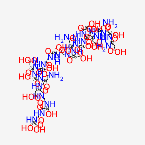 NC(=O)C[C@H](NC(=O)[C@H](CO)NC(=O)[C@H](CC(=O)O)NC(=O)[C@H](CO)NC(=O)CNC(=O)[C@H](CO)NC(=O)CNC(=O)[C@H](CC(=O)O)NC(=O)[C@H](CC(N)=O)NC(=O)[C@H](CO)NC(=O)[C@H](CC(=O)O)NC(=O)[C@H](CO)NC(=O)[C@H](CC(=O)O)NC(=O)[C@H](CC(N)=O)NC(=O)[C@H](CO)NC(=O)[C@@H](N)CC(=O)O)C(=O)N[C@@H](CC(=O)O)C(=O)NCC(=O)N[C@@H](CO)C(=O)NCC(=O)N[C@@H](CO)C(=O)O